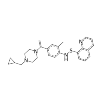 C=C(c1ccc(NSc2cccc3cccnc23)c(C)c1)N1CCN(CC2CC2)CC1